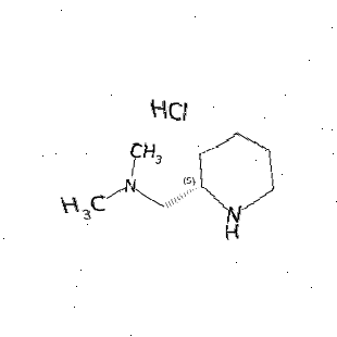 CN(C)C[C@@H]1CCCCN1.Cl